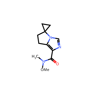 CON(C)C(=O)c1ncn2c1CCC21CC1